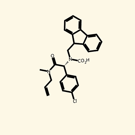 C=CCN(C)C(=O)[C@@H](c1ccc(Cl)cc1)N(CC1c2ccccc2-c2ccccc21)C(=O)O